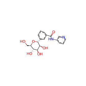 O=C(Nc1cccnc1)c1cccc([C@H]2O[C@H](CO)[C@@H](O)[C@H](O)[C@@H]2O)c1